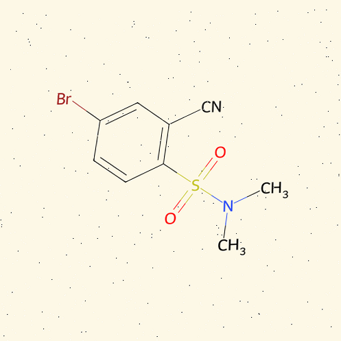 CN(C)S(=O)(=O)c1ccc(Br)cc1C#N